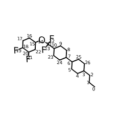 CCCC1CCC(C2CCC(C(F)(F)OC3CCC(F)C(F)C3)CC2)CC1